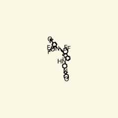 CP(C)(=O)c1ccc(NCC#Cc2sc3c(NC4CCC(N5CC6(CCOCC6)C5)CC4)cccc3c2CC(F)(F)F)c(OC(F)F)c1